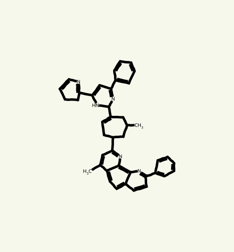 Cc1cc(C2CC=C(C3N=C(c4ccccc4)C=C(C4=NC=CCC4)N3)CC(C)C2)nc2c1ccc1ccc(-c3ccccc3)nc12